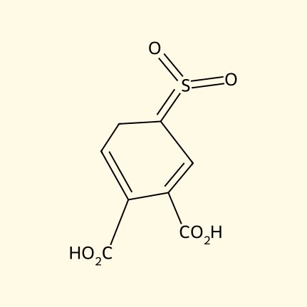 O=C(O)C1=CCC(=S(=O)=O)C=C1C(=O)O